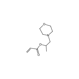 C=CC(=O)OC(C)CN1CCOCC1